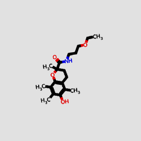 CCOCCCNC(=O)C1(C)CCc2c(C)c(O)c(C)c(C)c2O1